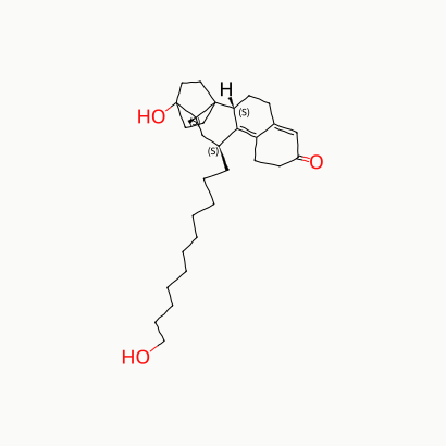 C[C@]12C[C@H](CCCCCCCCCCCO)C3=C4CCC(=O)C=C4CC[C@H]3C13CCC2(O)CC3